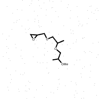 COC(C)COC(C)COCC1CO1